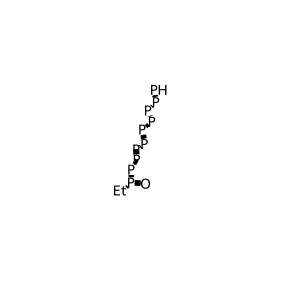 CCP(=O)=PP=PP=PP=PP=P